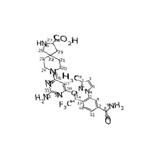 Cc1ccn(-c2cc(C(N)=O)ccc2[C@@H](Oc2cc(N3CCC4(CC3)CNC(C(=O)O)C4)nc(N)n2)C(F)(F)F)n1